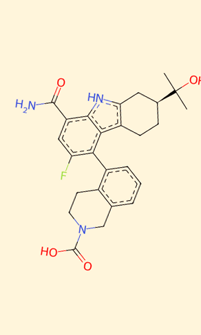 CC(C)(O)[C@H]1CCc2c([nH]c3c(C(N)=O)cc(F)c(-c4cccc5c4CCN(C(=O)O)C5)c23)C1